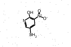 Bc1cnc(O)c([N+](=O)[O-])c1